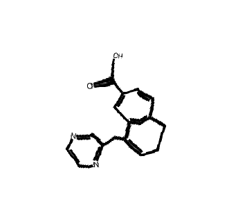 O=C(O)c1ccc2c(c1)C(c1cnccn1)=CCC2